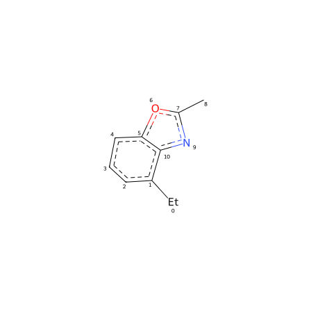 CCc1cccc2oc(C)nc12